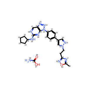 Cc1nc(CCn2cc(-c3ccc(-n4nnc5cnc(NC6CCCC6)nc54)cc3)cn2)no1.NC(=O)O